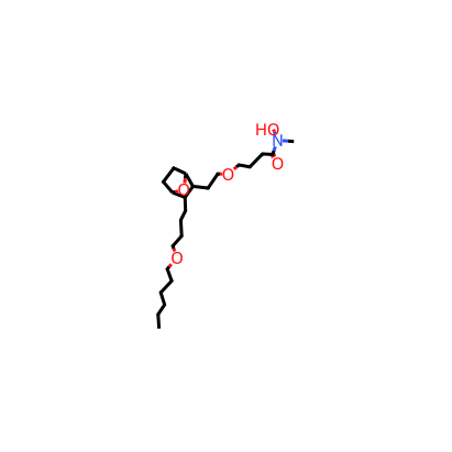 CCCCCCOCCCCC1C2CCC(O2)C1CCOCCCC(=O)N(C)O